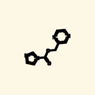 O=C(OCc1cnccn1)n1ccnc1